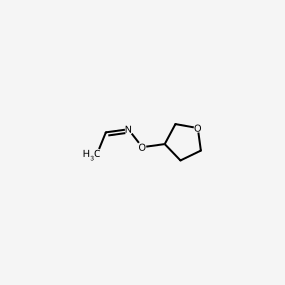 C/C=N\OC1CCOC1